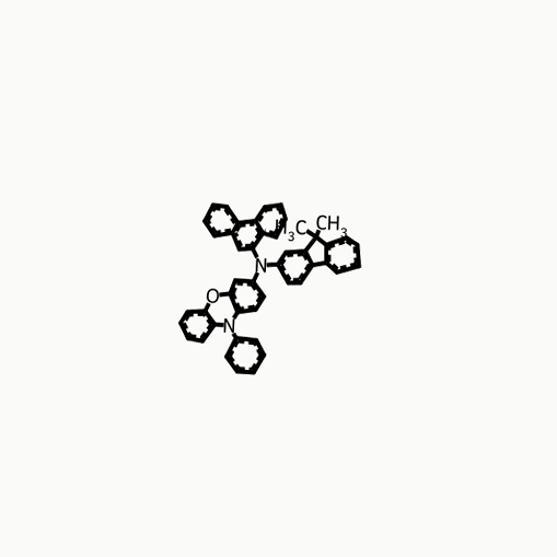 CC1(C)c2ccccc2-c2ccc(N(c3ccc4c(c3)Oc3ccccc3N4c3ccccc3)c3cc4ccccc4c4ccccc34)cc21